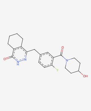 O=C(c1cc(Cc2n[nH]c(=O)c3c2CCCC3)ccc1F)N1CCC(O)CC1